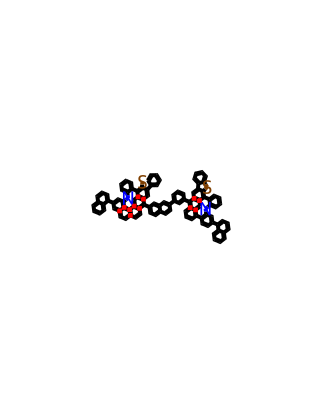 c1ccc(-c2ccc(-c3cccc4ccccc34)cc2N(c2ccc(-c3cccc(-c4ccc5ccc(-c6ccc(N(c7cc(-c8cccc9ccccc89)ccc7-c7ccccc7)c7ccccc7-c7cccc8c7sc7ccccc78)c(-c7ccccc7)c6)cc5c4)c3)cc2)c2ccccc2-c2cccc3c2sc2ccccc23)cc1